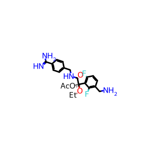 CCO[C@@](OC(C)=O)(C(=O)NCc1ccc(C(=N)N)cc1)c1c(F)ccc(CN)c1F